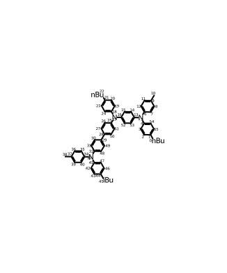 CCCCc1ccc(N(c2ccc(C)cc2)c2ccc(N(c3ccc(CCCC)cc3)c3ccc(-c4ccc(N(c5ccc(C)cc5)c5ccc(C(C)CC)cc5)cc4)cc3)cc2)cc1